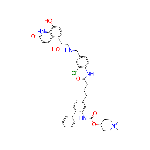 C[N+]1(C)CCC(OC(=O)Nc2cc(CCCC(=O)Nc3ccc(CNC[C@H](O)c4ccc(O)c5[nH]c(=O)ccc45)cc3Cl)ccc2-c2ccccc2)CC1